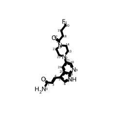 NC(=O)C=Cc1c[nH]c2ncc(N3CCN(C(=O)CCCF)CC3)cc12